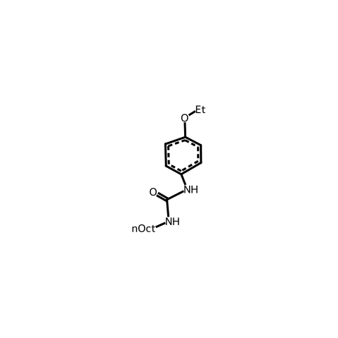 CCCCCCCCNC(=O)Nc1ccc(OCC)cc1